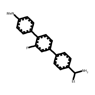 CCC(N)c1ccc(-c2ccc(-c3ccc(NC)cc3)c(F)c2)cc1